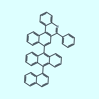 c1ccc(-c2nc3ccccc3c3c2cc(-c2c4ccccc4c(-c4cccc5ccccc45)c4ccccc24)c2ccccc23)cc1